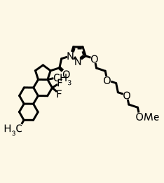 COCCOCCOCCOc1ccn(CC(=O)C2CCC3C4CCC5CC(C)CCC5C4CC(F)(F)C23C)n1